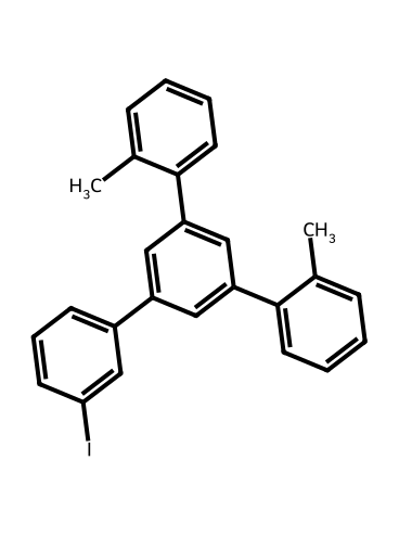 Cc1ccccc1-c1cc(-c2cccc(I)c2)cc(-c2ccccc2C)c1